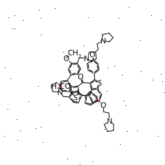 COc1cc(-c2cccc3sc(-c4ccc(OCCN5CCCC5)cc4)c(C(=O)c4c(-c5ccc(OCCN6CCCC6)cc5)sc5cccc(-c6ccc(CN7CCCC7)c(OC)c6)c45)c23)ccc1CN1CCCC1